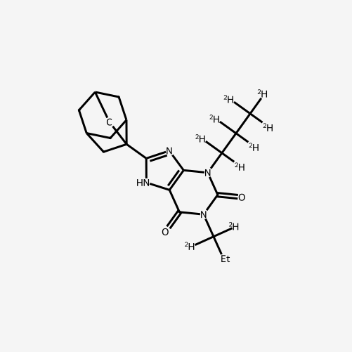 [2H]C([2H])(CC)n1c(=O)c2[nH]c(C34CC5CC(CC3C5)C4)nc2n(C([2H])([2H])C([2H])([2H])C([2H])([2H])[2H])c1=O